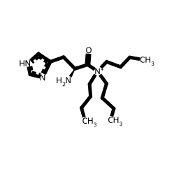 CCCC[N+](CCCC)(CCCC)C(=O)[C@@H](N)Cc1c[nH]cn1